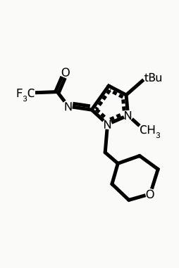 Cn1c(C(C)(C)C)cc(=NC(=O)C(F)(F)F)n1CC1CCOCC1